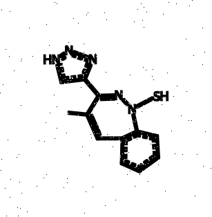 CC1=Cc2ccccc2N(S)N=C1c1c[nH]nn1